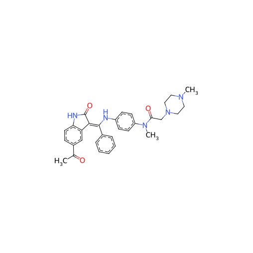 CC(=O)c1ccc2c(c1)/C(=C(/Nc1ccc(N(C)C(=O)CN3CCN(C)CC3)cc1)c1ccccc1)C(=O)N2